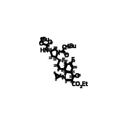 CCOC(=O)c1cn(C2CC2)c2c(/C=C\C[C@H]3C[C@H](NC(=O)OC(C)(C)C)CN3C(=O)OC(C)(C)C)c(F)c(F)cc2c1=O